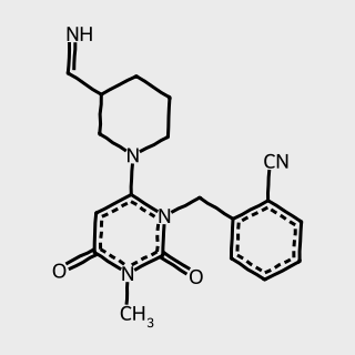 Cn1c(=O)cc(N2CCCC(C=N)C2)n(Cc2ccccc2C#N)c1=O